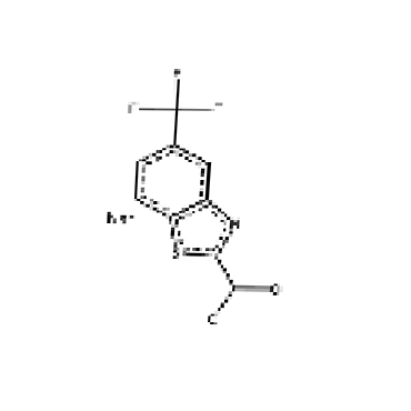 O=C([O-])c1nc2cc(C(F)(F)F)ccc2s1.[Na+]